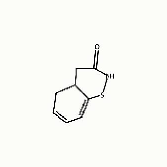 O=C1CC2CC=CC=C2SN1